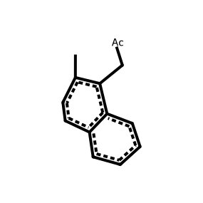 CC(=O)Cc1c(C)ccc2ccccc12